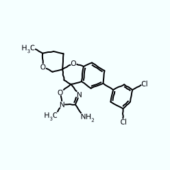 CC1CCC2(CO1)CC1(N=C(N)N(C)O1)c1cc(-c3cc(Cl)cc(Cl)c3)ccc1O2